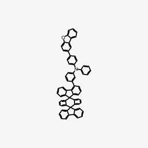 c1ccc(N(c2ccc(-c3ccc4oc5ccccc5c4c3)cc2)c2cccc(-c3cccc4c3-c3ccccc3C43c4ccccc4C4(c5ccccc5-c5ccccc54)c4ccccc43)c2)cc1